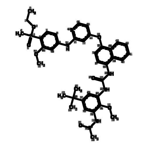 CCOP(C)(=O)c1ccc(Nc2cc(Oc3ccc(NC(=O)Nc4cc(C(C)(C)C)cc(N[S+](C)[O-])c4OC)c4ccccc34)ccn2)cc1OC